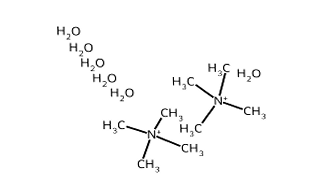 C[N+](C)(C)C.C[N+](C)(C)C.O.O.O.O.O.O